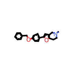 CN1CCc2oc(-c3ccc(OCc4ccccc4)cc3)cc2C1